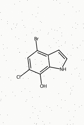 Oc1c(Cl)cc(Br)c2cc[nH]c12